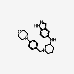 c1cc(N2CCOCC2)ccc1CN1CCCC(Nc2ccc3[nH]ncc3c2)C1